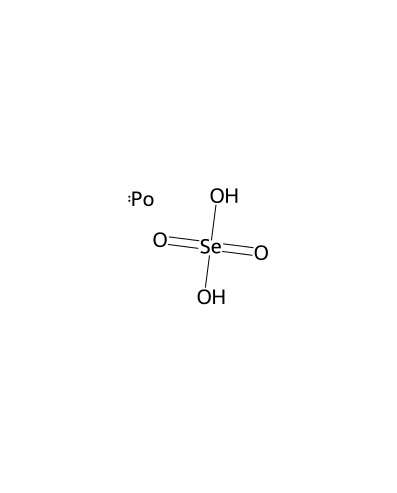 O=[Se](=O)(O)O.[Po]